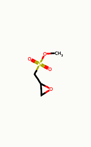 COS(=O)(=O)CC1CO1